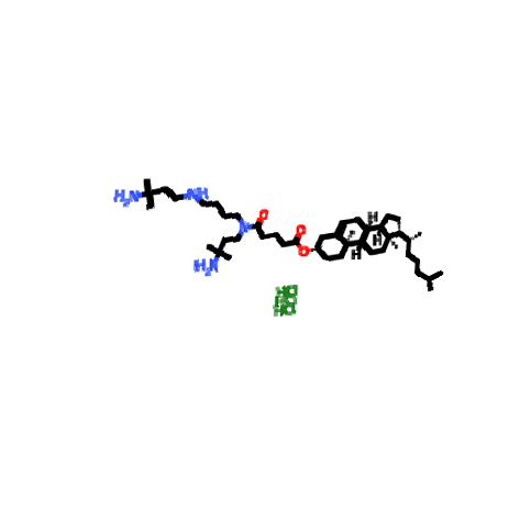 CC(C)CCC[C@@H](C)[C@H]1CC[C@H]2[C@@H]3CC=C4C[C@@H](OC(=O)CCCC(=O)N(CCCCNCCC(C)(C)N)CCC(C)(C)N)CC[C@]4(C)[C@H]3CC[C@]12C.Cl.Cl.Cl